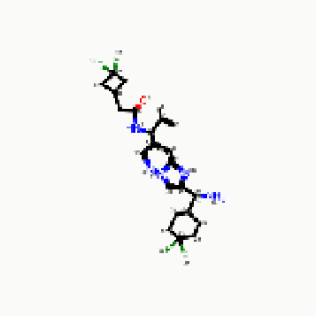 C=C(C)C(NC(=O)CC1CC(F)(F)C1)c1cnn2cc([C@@H](N)C3CCC(F)(F)CC3)nc2c1